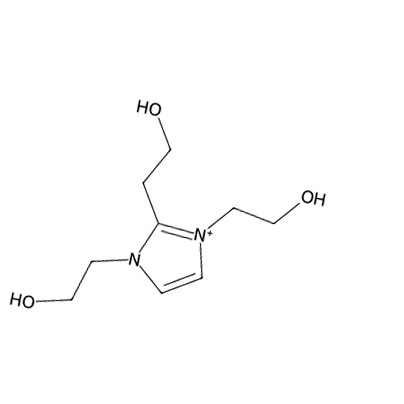 OCCc1n(CCO)cc[n+]1CCO